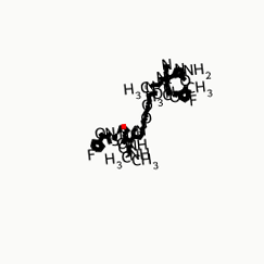 CN[C@@H](C)C(=O)N[C@H](C(=O)N1CCC[C@H]1C1=NC(C(=O)c2ccc(F)cc2)CS1)C1CCN(CCOCCOCCC(=O)N(C)CCn2nc(C#N)c3c2CN(C)C(=O)c2ccc(F)cc2[C@@H](C)Oc2cc-3cnc2N)CC1